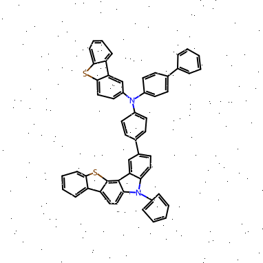 c1ccc(-c2ccc(N(c3ccc(-c4ccc5c(c4)c4c6sc7ccccc7c6ccc4n5-c4ccccc4)cc3)c3ccc4sc5ccccc5c4c3)cc2)cc1